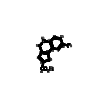 CCOC(=O)c1cc2c(s1)-c1cc(F)ccc1OC2